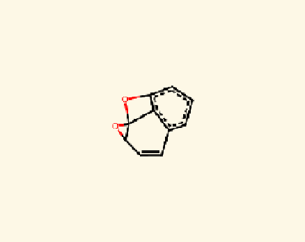 C1=CC2OC23Oc2cccc1c23